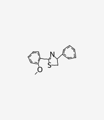 COc1ccccc1C1=NC(c2ccccc2)CS1